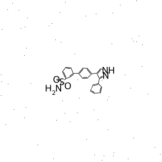 NS(=O)(=O)c1cccc(-c2ccc(-c3c[nH]nc3-c3ccccc3)cc2)c1